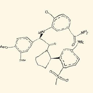 COc1ccc([C@@H](Nc2cc(C(N)=O)ccc2Cl)C(=O)N2CCC[C@@H]2c2cc(NC(C)=O)ccc2S(C)(=O)=O)cc1OC